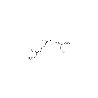 C=C/C(C)=C/C/C=C(\C)CC/C=C(/C=O)CO